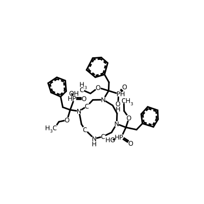 CCOC(Cc1ccccc1)(N1CCNCCN(C(Cc2ccccc2)(OCC)[PH](=O)O)CCN(C(Cc2ccccc2)(OCC)[PH](=O)O)CC1)[PH](=O)O